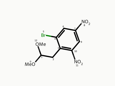 COC(Cc1c(Br)cc([N+](=O)[O-])cc1[N+](=O)[O-])OC